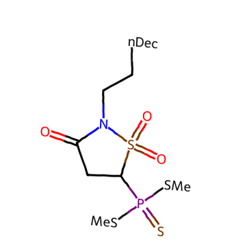 CCCCCCCCCCCCN1C(=O)CC(P(=S)(SC)SC)S1(=O)=O